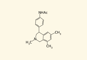 CC(=O)Nc1ccc(C2CN(C)Cc3c(C)cc(C)cc32)cc1